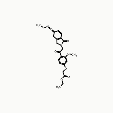 CCOC(=O)COc1ccc(C(=O)CN2CC3=C(C=CC(=C=NSC)C3)C2=O)c(OC)c1